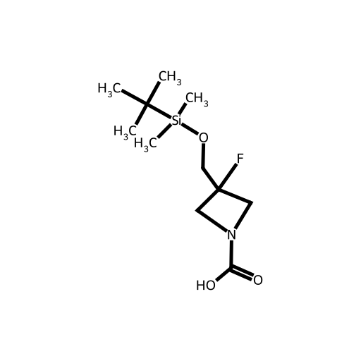 CC(C)(C)[Si](C)(C)OCC1(F)CN(C(=O)O)C1